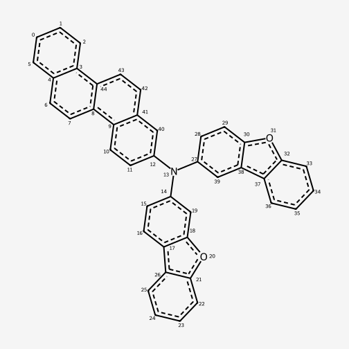 c1ccc2c(c1)ccc1c3ccc(N(c4ccc5c(c4)oc4ccccc45)c4ccc5oc6ccccc6c5c4)cc3ccc21